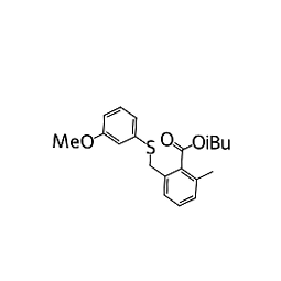 COc1cccc(SCc2cccc(C)c2C(=O)OCC(C)C)c1